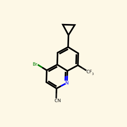 N#Cc1cc(Br)c2cc(C3CC3)cc(C(F)(F)F)c2n1